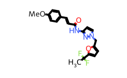 COc1ccc(/C=C/C(=O)Nc2ccn(Cc3ccc(C(C)(F)F)o3)n2)cc1